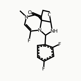 CN1C=C(F)N2C(c3ccc(F)cc3F)NC3CCCC(=O)C32C1